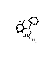 CCCP(c1ccccc1C)c1ccccc1C